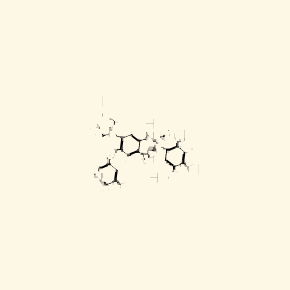 CCN(C=O)c1cc(NS(=O)(=O)c2cc(C)c(Cl)cc2Cl)c(Br)cc1Oc1cncc(Cl)c1